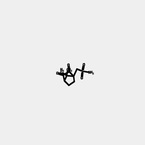 CC1(C)C2CCC1(CS(N)(=O)=O)C(=O)C2=O